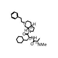 CN[C@@H](C)C(=O)N[C@@H](CC1CCCCC1)C(=O)N1CC[C@H]2CCN(CCc3ccccc3)C[C@H]21